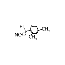 CC[C@@H](OC#N)c1ccc(C)cc1C